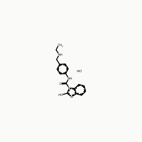 CCNCc1ccc(NC(=O)n2c(O)nc3ccccc32)cc1.Cl